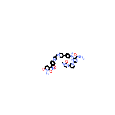 CN1CCN([C@@H]2CCCN(c3cnc(C(N)=O)c(Nc4ccc(C5CCN(CC6CN(c7ccc8c(C9CCC(=O)NC9=O)noc8c7)C6)CC5)cc4)n3)C2)C1=O